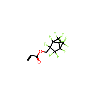 C=CC(=O)OCC1(F)C(F)(F)C2(F)C(F)(F)C(F)(F)C1(F)C2(F)F